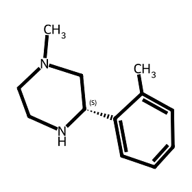 Cc1ccccc1[C@H]1CN(C)CCN1